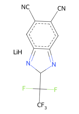 N#Cc1cc2c(cc1C#N)=NC(C(F)(F)C(F)(F)F)N=2.[LiH]